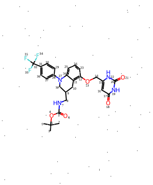 CC(C)(C)OC(=O)NCC1Cc2c(OCc3cc(=O)[nH]c(=O)[nH]3)cccc2N(c2ccc(C(F)(F)F)cc2)C1